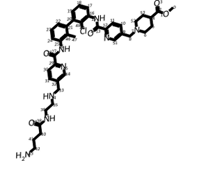 COC(=O)C1CCN(Cc2ccc(C(=O)Nc3cccc(-c4cccc(NC(=O)c5ccc(CNCCNC(=O)CCCN)cn5)c4C)c3Cl)nc2)CC1